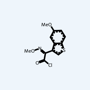 CON=C(C(=O)Cl)c1csc2ccc(OC)cc12